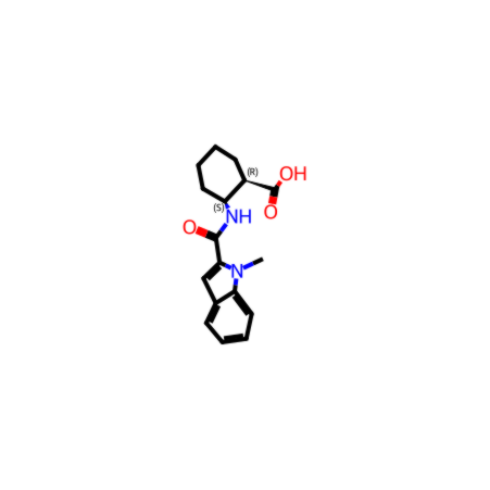 Cn1c(C(=O)N[C@H]2CCCC[C@H]2C(=O)O)cc2ccccc21